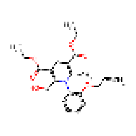 C=CCOc1ccccc1N1C(C)=C(C(=O)OCC)CC(C(=O)OCC)=C1CO